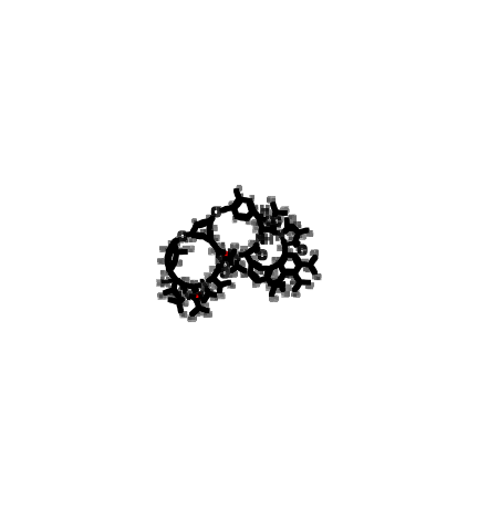 Cc1cc2ccc1Oc1cc3cc(c1)[C@H](C(=O)N(C(C)C)C1C(=O)N[C@H](C(=O)N(C(C)C)[C@@H](C(=O)C(C)C)c4cc(C(C)C)c(C(C)C)c(C(C)C)c4-c4cc1ccc4C(C)C)[C@@H]2OC(C)C)N(C(C)C)C(=O)C(C(C)C)N(C(C)C)C(=O)[C@H](N(C(=O)C(C)C)C(C)C)[C@H](C(C)C)c1ccc(c(C)c1)O3